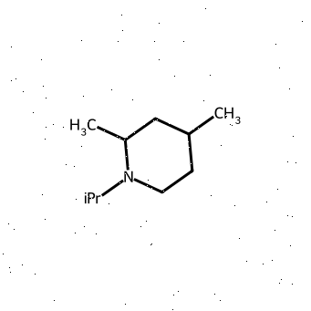 CC1CCN(C(C)C)C(C)C1